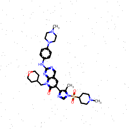 Cc1c(-c2cc3cnc(Nc4ccc(N5CCN(C)CC5)cc4)nc3n(CC3CCOCC3)c2=O)ncn1S(=O)(=O)C1CCN(C)CC1